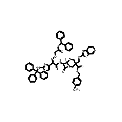 COc1ccc(COC(=O)C2(CSc3nc4ccncc4s3)CS[C@@H]3C(NC(=O)C(=NOCC(=O)OC(c4ccccc4)c4ccccc4)c4csc(NC(c5ccccc5)(c5ccccc5)c5ccccc5)n4)C(=O)N3C2)cc1